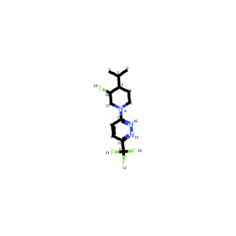 CC(C)C1CCN(c2ccc(C(F)(F)F)nn2)CC1F